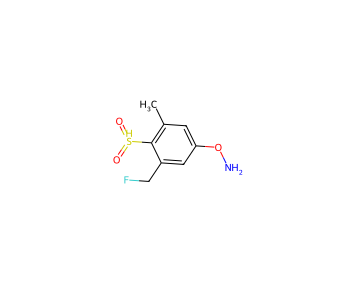 Cc1cc(ON)cc(CF)c1[SH](=O)=O